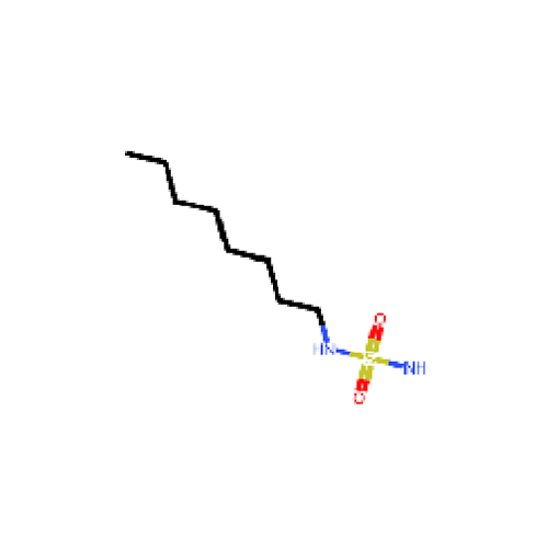 CCCCCCCCNS([NH])(=O)=O